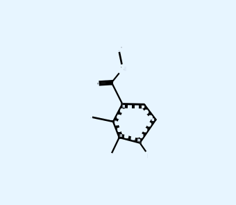 O=C(NO)c1ccc(F)c(F)c1O